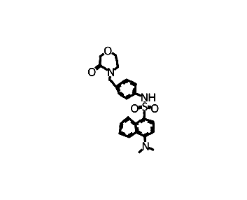 CN(C)c1ccc(S(=O)(=O)Nc2ccc(CN3CCOCC3=O)cc2)c2ccccc12